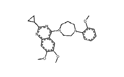 COc1cc2nc(C3CC3)nc(N3CCCN(c4ccccc4OC)CC3)c2cc1OC